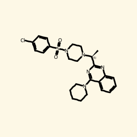 C[C@@H](c1nc(N2CCCCC2)c2ccccc2n1)N1CCN(S(=O)(=O)c2ccc(Cl)cc2)CC1